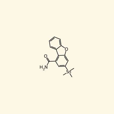 [CH3][Sn]([CH3])([CH3])[c]1cc(C(N)=O)c2c(c1)oc1ccccc12